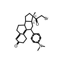 CN(C)c1ccc(C2C[C@@]3(C)C(CC[C@]3(C)C(=O)CBr)C3CCC4=CC(=O)CCC4=C23)cc1